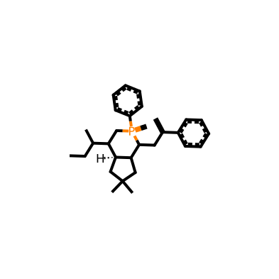 C=C(CC1C2CC(C)(C)C[C@H]2C(C(C)CC)CP1(=C)c1ccccc1)c1ccccc1